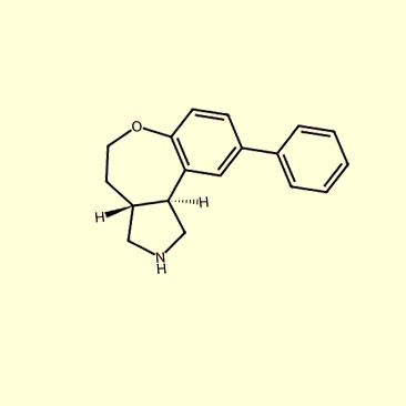 c1ccc(-c2ccc3c(c2)[C@H]2CNC[C@@H]2CCO3)cc1